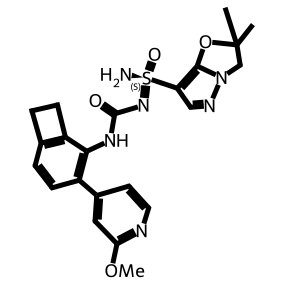 COc1cc(-c2ccc3c(c2NC(=O)N=[S@](N)(=O)c2cnn4c2OC(C)(C)C4)CC3)ccn1